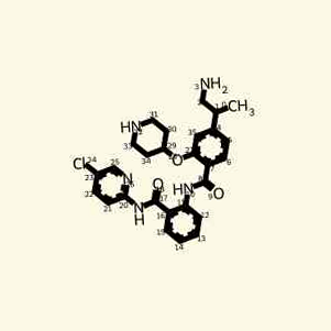 CC(CN)c1ccc(C(=O)Nc2ccccc2C(=O)Nc2ccc(Cl)cn2)c(OC2CCNCC2)c1